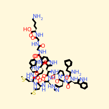 CSCC[C@H](NC(=O)[C@H](C)NC(=O)[C@H](Cc1c[nH]c2ccccc12)NC(=O)[C@@H]1CCCN1C(=O)[C@H](Cc1c[nH]cn1)NC(=O)[C@H](Cc1c[nH]c2ccccc12)NC(=O)[C@@H](N)Cc1ccccc1)C(=O)N[C@@H](CCSC)C(=O)N[C@@H](Cc1ccc(O)cc1)C(=O)N[C@@H](CCCCN)C(=O)NCC(=O)NCC(=O)NCC(=O)N[C@@H](CCCCN)C(=O)O